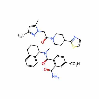 CN(C(=O)c1ccc(C(=O)O)cc1C(N)=O)C1CCCc2ccccc21.Cc1cc(C(F)(F)F)nn1CC(=O)N1CCC(c2nccs2)CC1